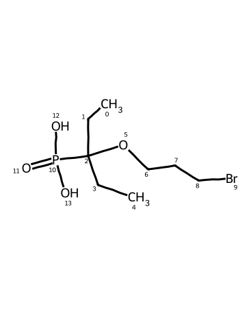 CCC(CC)(OCCCBr)P(=O)(O)O